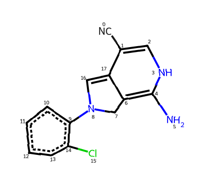 N#CC1=CNC(N)=C2CN(c3ccccc3Cl)C=C12